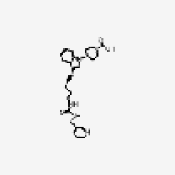 O=C(NCCCC#Cc1cn(C2CCN(C(=O)O)CC2)c2ccccc12)NCc1cccnc1